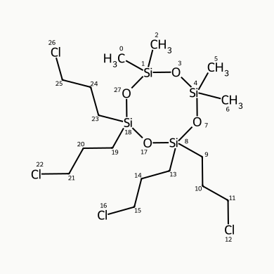 C[Si]1(C)O[Si](C)(C)O[Si](CCCCl)(CCCCl)O[Si](CCCCl)(CCCCl)O1